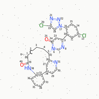 C[C@@H]1CCC[C@H](n2cnc(-c3cc(Cl)ccc3-n3cc(Cl)nn3)cc2=O)c2cc(ccn2)-c2ccccc2NC1=O